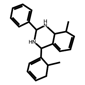 CC1CC=CC=C1C1NC(c2ccccc2)NC2C1=CC=CC2C